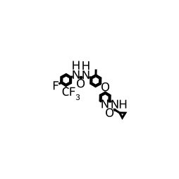 Cc1cc(Oc2ccnc(NC(=O)C3CC3)c2)ccc1NC(=O)Nc1ccc(F)c(C(F)(F)F)c1